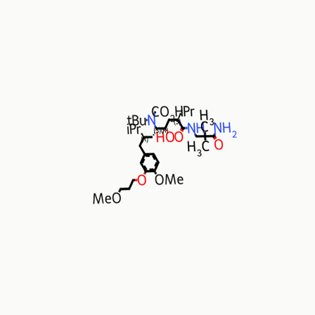 COCCCOc1cc(C[C@H](C[C@@H]([C@H](O)C[C@H](C(=O)NCC(C)(C)C(N)=O)C(C)C)N(C(=O)O)C(C)(C)C)C(C)C)ccc1OC